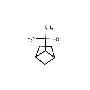 CC(N)(O)C1C2CCC1C2